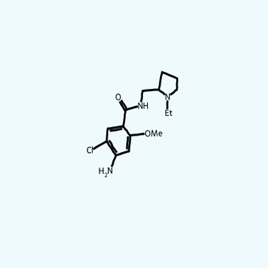 CCN1CCCC1CNC(=O)c1cc(Cl)c(N)cc1OC